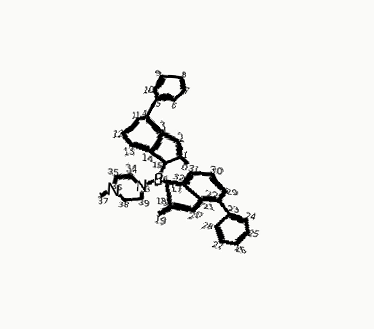 CC1=Cc2c(-c3ccccc3)cccc2C1B(C1C(C)=Cc2c(-c3ccccc3)cccc21)N1CCN(C)CC1